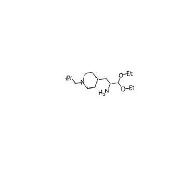 CCOC(OCC)C(N)CC1CCN(C[C](C)C)CC1